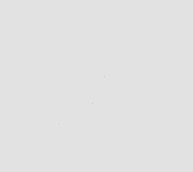 O=C(O)CCC(=O)N(C1CC1)C1c2cc(F)c(F)cc2[N+](Cc2ccccc2)(C(=O)O)C2CCC12